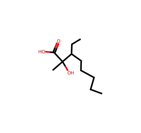 CCCCCC(CC)C(C)(O)C(=O)O